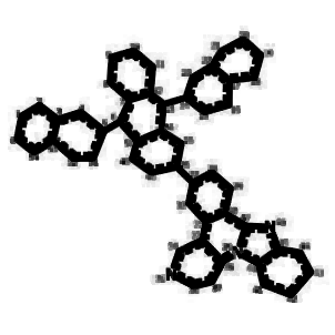 c1ccc2cc(-c3c4ccccc4c(-c4ccc5ccccc5c4)c4cc(-c5ccc6c(c5)c5cnccc5n5c7ccccc7nc65)ccc34)ccc2c1